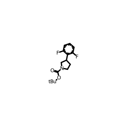 CC(C)(C)OC(=O)N1CCC(c2c(F)cccc2F)C1